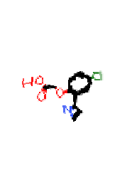 O=C(O)COc1ccc(Cl)cc1C1=NC=C1